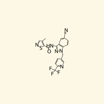 Cc1cnsc1C(=O)Nc1nn(Cc2ccc(C(F)(F)F)nc2)c2ccc(C#N)cc12